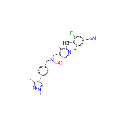 Cc1nn(C)cc1-c1ccc(CN(C=O)Cc2ccnc(Bc3c(F)cc(C#N)cc3F)c2C)cc1